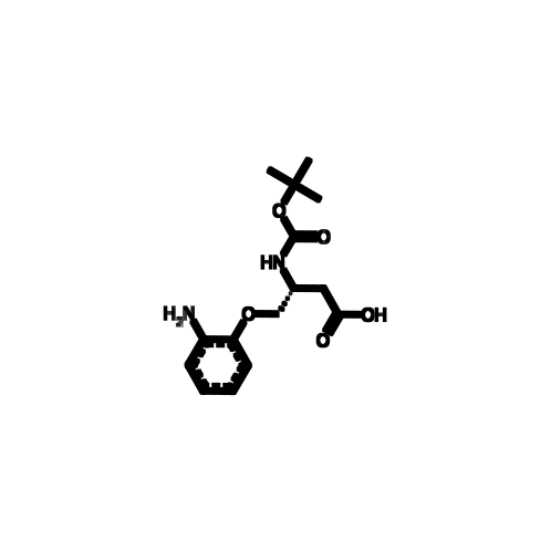 CC(C)(C)OC(=O)N[C@@H](COc1ccccc1N)CC(=O)O